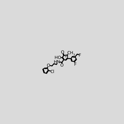 Cn1c(-c2cc(F)cc(CF)c2)cc(C(=O)NCCCOc2ccccc2Cl)c(O)c1=O